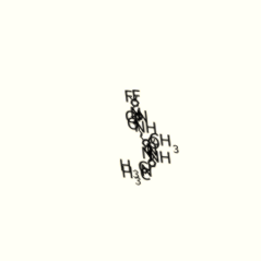 COc1cc(C=CCNC(=O)c2cncn(Cc3ccc(F)c(F)c3)c2=O)cc2cnc(Nc3ccc(CN(C)C)cc3)nc12